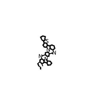 C=C/C=C\c1ccc2c(c1C)c1ccccc1n2-c1cc(C#N)c(-n2c3ccccc3c3c4sc5ccccc5c4ccc32)cc1C#N